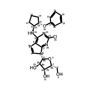 OC[C@H]1O[C@@H](n2cnc3c(N[C@H]4CCC[C@@H]4Oc4ccccc4)nc(Cl)nc32)[C@H](O)[C@@H]1O